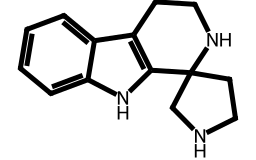 c1ccc2c3c([nH]c2c1)C1(CCNC1)NCC3